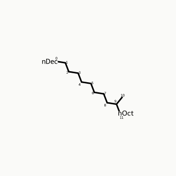 CCCCCCCCCCCCCCCCCCC(C)CCCCCCCC